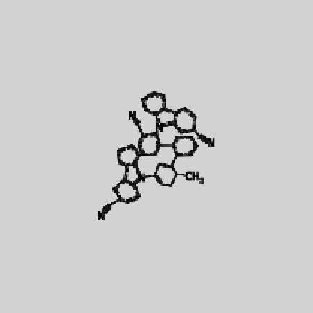 CC1CC=C(n2c3ccccc3c3cc(C#N)ccc32)C=C1c1ccccc1-c1cccc(C#N)c1-n1c2ccccc2c2ccc(C#N)cc21